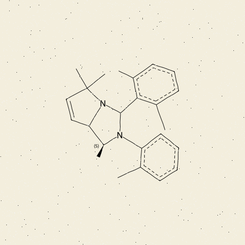 Cc1ccccc1N1C(c2c(C)cccc2C)N2C(C=CC2(C)C)[C@@H]1C